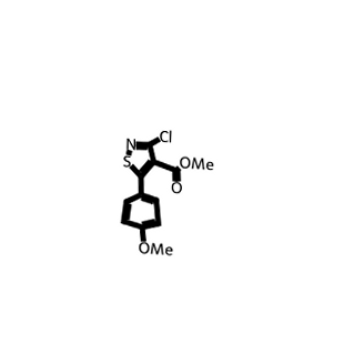 COC(=O)c1c(Cl)nsc1-c1ccc(OC)cc1